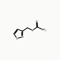 NC(=O)[N]Cc1ccon1